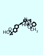 C[C@@H](OC(=O)Nc1c(C#Cc2ccc3cc(C4(C(=O)O)CC4)ccc3c2)cnn1C1CC1)c1ccccc1